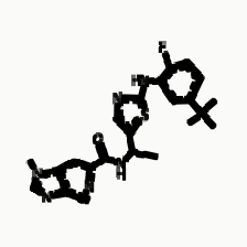 CC(NC(=O)c1cc2c(cn1)ncn2C)c1cnc(Nc2cc(C(C)(C)C)ccc2F)s1